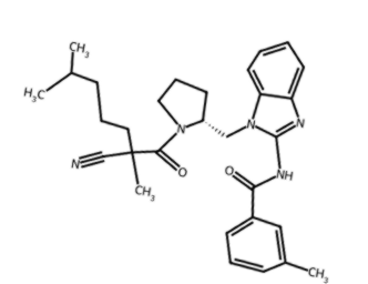 Cc1cccc(C(=O)Nc2nc3ccccc3n2C[C@H]2CCCN2C(=O)C(C)(C#N)CCCC(C)C)c1